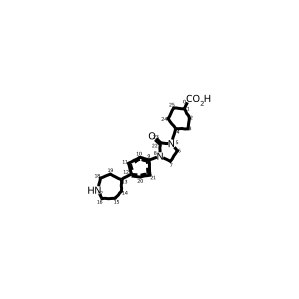 O=C(O)C1CCC(N2CCN(c3ccc(C4CCCNCC4)cc3)C2=O)CC1